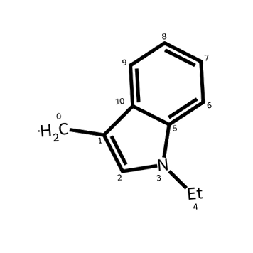 [CH2]c1cn(CC)c2ccccc12